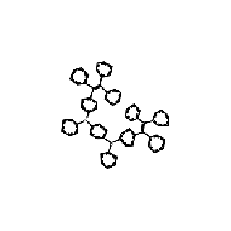 c1ccc(C(=C(c2ccccc2)c2ccc(N(c3ccccc3)c3ccc(N(c4ccccc4)c4ccc(C(=C(c5ccccc5)c5ccccc5)c5ccccc5)cc4)cc3)cc2)c2ccccc2)cc1